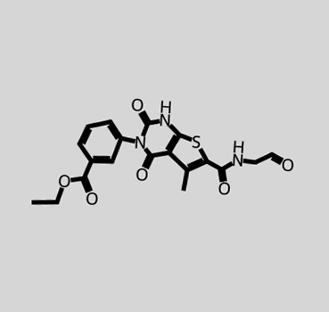 CCOC(=O)c1cccc(-n2c(=O)[nH]c3sc(C(=O)NCC=O)c(C)c3c2=O)c1